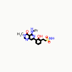 CC(C)Nc1nc(-c2cccc(CCS([NH])(=O)=O)c2O)cc2ncn(C)c(=O)c12